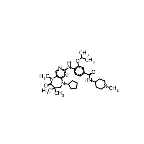 CC(C)Oc1cc(C(=O)NC2CCN(C)CC2)ccc1Nc1ncc2c(n1)N(C1CCCC1)CC(C)(C)C(=O)N2C